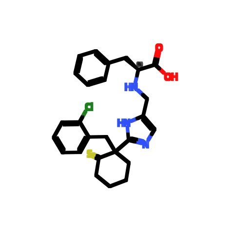 O=C(O)[C@H](Cc1ccccc1)NCc1cnc(C2(Cc3ccccc3Cl)CCCCC2=S)[nH]1